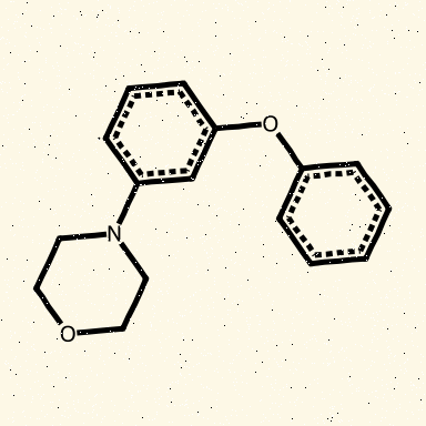 [c]1ccc(Oc2ccccc2)cc1N1CCOCC1